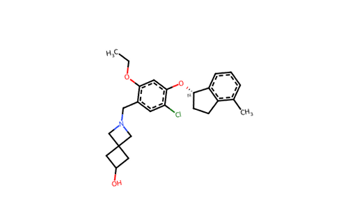 CCOc1cc(O[C@H]2CCc3c(C)cccc32)c(Cl)cc1CN1CC2(CC(O)C2)C1